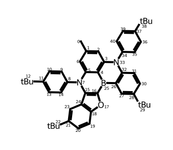 Cc1cc2c3c(c1)N(c1ccc(C(C)(C)C)cc1)c1c(oc4ccc(C(C)(C)C)cc14)B3c1cc(C(C)(C)C)ccc1N2c1ccc(C(C)(C)C)cc1